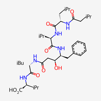 CC[C@H](C)[C@H](NC(=O)C[C@H](O)[C@H](Cc1ccccc1)NC(=O)[C@H](NC(=O)[C@H](CC(C)C)NC(=O)CC(C)C)C(C)C)C(=O)N[C@H](C(=O)O)C(C)C